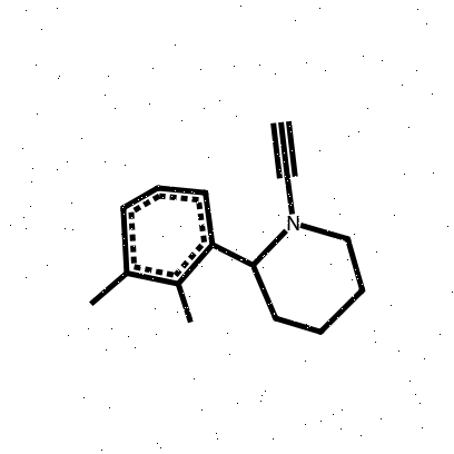 C#CN1CCCCC1c1cccc(C)c1C